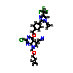 C[Si](C)(C)CCOCn1cc(C#N)c2c(OCc3ccc(-c4nc(C(F)(F)F)cn4C4CC4)cc3)nc(Cl)nc21